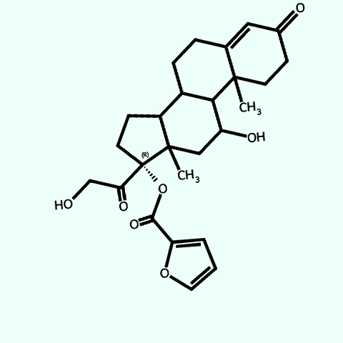 CC12CCC(=O)C=C1CCC1C2C(O)CC2(C)C1CC[C@]2(OC(=O)c1ccco1)C(=O)CO